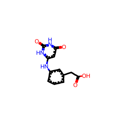 O=C(O)Cc1cccc(Nc2cc(=O)[nH]c(=O)[nH]2)c1